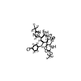 CC(C)(C)OC(=O)N[C@H]1CS(=O)(=O)C2=C(C1=O)C(Cc1ccc(Cl)cc1)=CC(n1cnc(C(C)(C)C)n1)=C(F)N2